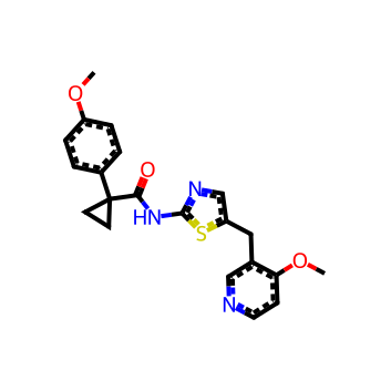 COc1ccc(C2(C(=O)Nc3ncc(Cc4cnccc4OC)s3)CC2)cc1